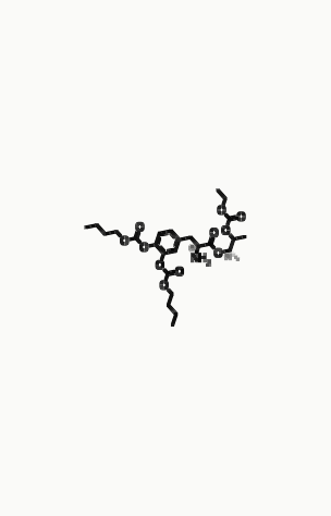 CCCCOC(=O)Oc1ccc(C[C@H](N)C(=O)O[C@@H](C)C(C)OC(=O)OCC)cc1OC(=O)OCCCC